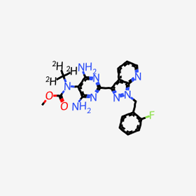 [2H]C([2H])([2H])N(C(=O)OC)c1c(N)nc(-c2nn(Cc3ccccc3F)c3ncccc23)nc1N